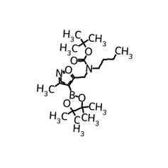 CCCCN(Cc1onc(C)c1B1OC(C)(C)C(C)(C)O1)C(=O)OC(C)(C)C